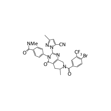 CNC(=O)c1ccc(-n2c(-n3nc(C)cc3C#N)nc3c(c2=O)CC(C)N(C(=O)c2ccc(Br)c(C(F)(F)F)c2)C3)cc1